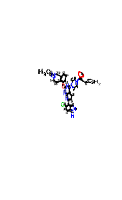 C=CC(=O)N1CCN(c2nc(Oc3cccc4c3CCN(C)C4)nc3nc(-c4c(Cl)ccc5[nH]ncc45)ccc23)CC1